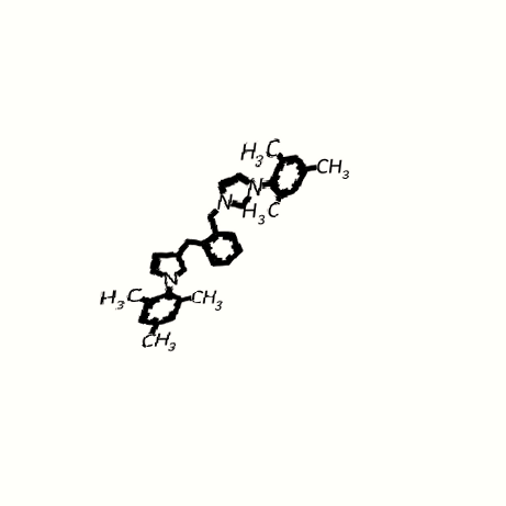 Cc1cc(C)c(N2C=CC(Cc3ccccc3CN3C=CN(c4c(C)cc(C)cc4C)C3)C2)c(C)c1